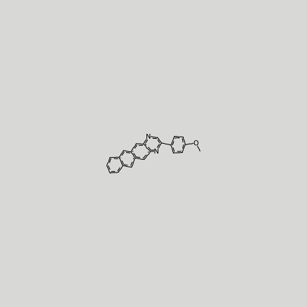 COc1ccc(-c2cnc3cc4cc5ccccc5cc4cc3n2)cc1